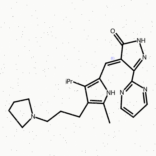 Cc1[nH]c(/C=C2/C(=O)NN=C2c2ncccn2)c(C(C)C)c1CCCN1CCCC1